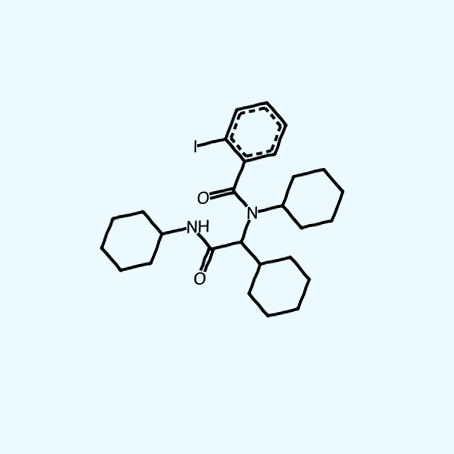 O=C(NC1CCCCC1)C(C1CCCCC1)N(C(=O)c1ccccc1I)C1CCCCC1